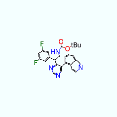 CC(C)(C)OC(=O)NCC(c1cc(F)cc(F)c1)c1ncncc1-c1cccc2cnccc12